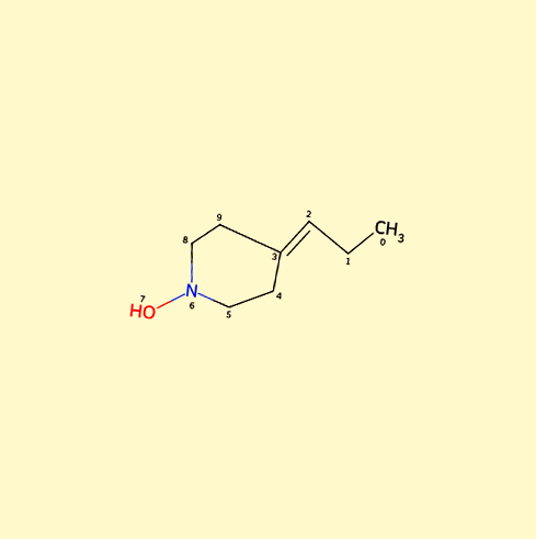 CCC=C1CCN(O)CC1